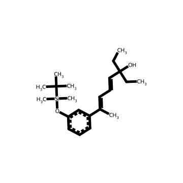 CCC(O)(C=CC=C(C)c1cccc(O[Si](C)(C)C(C)(C)C)c1)CC